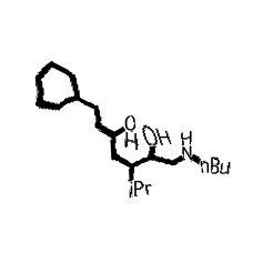 CCCCNCC(O)C(CC(O)CCC1CCCCC1)C(C)C